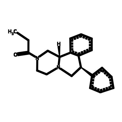 CCC(=O)N1CCN2C[C@H](c3ccccc3)c3ccccc3[C@H]2C1